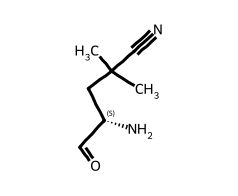 CC(C)(C#N)C[C@H](N)C=O